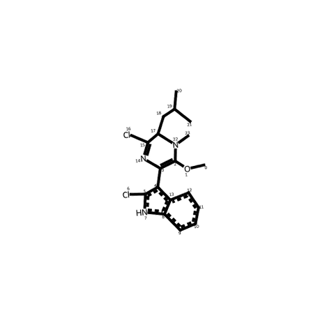 COC1=C(c2c(Cl)[nH]c3ccccc23)N=C(Cl)C(CC(C)C)N1C